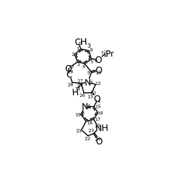 Cc1cc2c(c(OC(C)C)c1)C(=O)N1C[C@@H](Oc3cc4c(cn3)CCC(=O)N4)C[C@@H]1CCO2